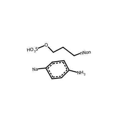 CCCCCCCCCCCCOS(=O)(=O)O.Nc1cc[c]([Na])cc1